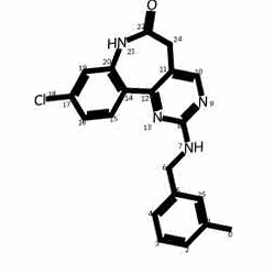 Cc1cccc(CNc2ncc3c(n2)-c2ccc(Cl)cc2NC(=O)C3)c1